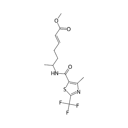 COC(=O)/C=C/CCC(C)NC(=O)c1sc(C(F)(F)F)nc1C